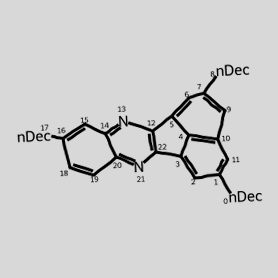 CCCCCCCCCCc1cc2c3c(cc(CCCCCCCCCC)cc3c1)-c1nc3cc(CCCCCCCCCC)ccc3nc1-2